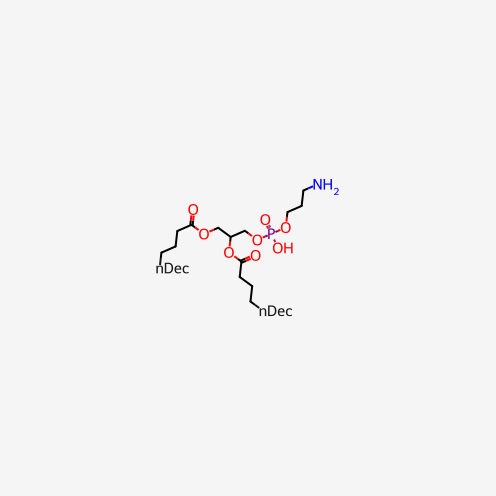 CCCCCCCCCCCCCC(=O)OCC(COP(=O)(O)OCCCN)OC(=O)CCCCCCCCCCCCC